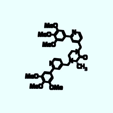 COc1cc(-c2cc(CN3CCN(Cc4ccnc(-c5cc(OC)c(OC)c(OC)c5)c4)[C@@H](C)C3=O)ccn2)cc(OC)c1OC